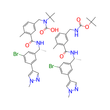 Cc1ccc(CN(C(=O)O)C(C)(C)C)cc1C(=O)N[C@H](C)c1cc(Br)cc(-c2cnn(C)c2)c1.Cc1ccc(CNC(=O)OC(C)(C)C)cc1C(=O)N[C@H](C)c1cc(Br)cc(-c2cnn(C)c2)c1